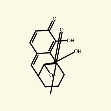 O=C1C=CC2=CC3CCCC4(C2=C1O)C(O)C(=O)CCC34O